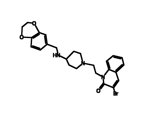 O=c1c(Br)cc2ccccc2n1CCN1CCC(NCc2ccc3c(c2)OCCO3)CC1